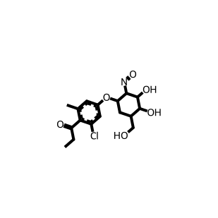 CCC(=O)c1c(C)cc(OC2CC(CO)C(O)C(O)C2N=O)cc1Cl